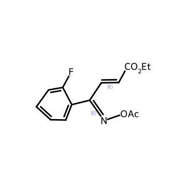 CCOC(=O)/C=C/C(=N\OC(C)=O)c1ccccc1F